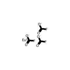 O=C([O-])F.O=C([O-])F.O=C([O-])F.[Eu+3]